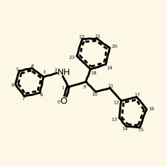 O=C(Nc1ccccc1)C(CCc1ccccc1)c1ccccc1